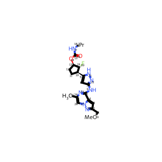 COCc1cc2c(Nc3cc([C@H]4CC[C@@H](OC(=O)NC(C)C)[C@@H]4F)[nH]n3)nc(C)cn2n1